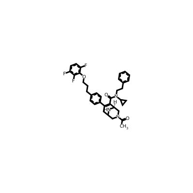 CC(=O)N1CC2CC(c3ccc(CCCOc4c(F)ccc(F)c4F)cc3)=C(C(=O)N(CCc3ccccc3)C3CC3)[C@@H](C1)N2